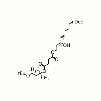 CCCCCCCCCCCCC/C=C/[C@@H](O)CCOC(=O)CCC(=O)OC(C)(C)CCOC(C)(C)C